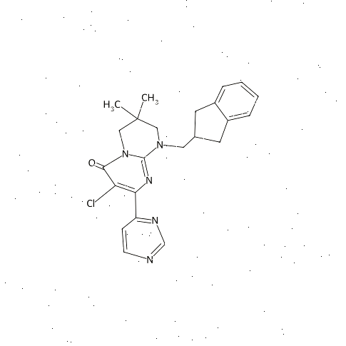 CC1(C)CN(CC2Cc3ccccc3C2)c2nc(-c3ccncn3)c(Cl)c(=O)n2C1